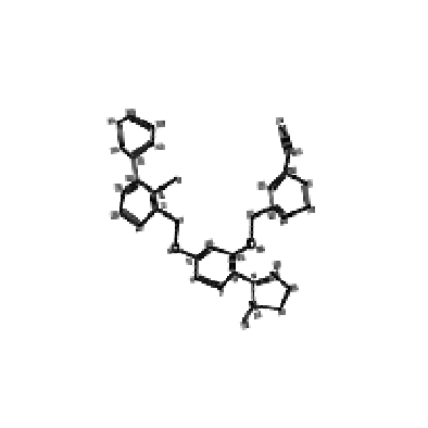 Cc1c(COc2ccc(C3=NCCN3C)c(OCc3cccc(C#N)c3)c2)cccc1-c1ccccc1